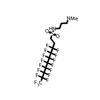 CNCCCNS(=O)(=O)CCC(F)(F)C(F)(F)C(F)(F)C(F)(F)C(F)(F)C(F)(F)C(F)(F)C(F)(F)F